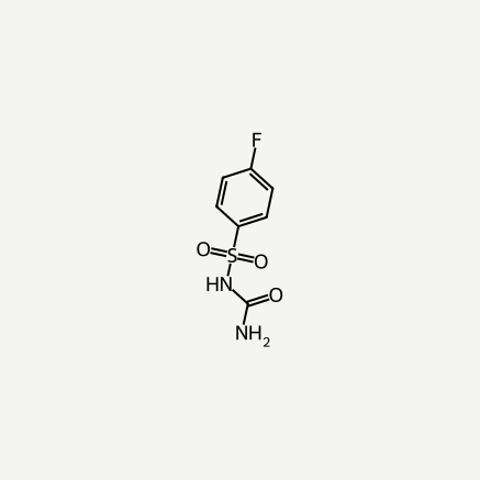 NC(=O)NS(=O)(=O)c1ccc(F)cc1